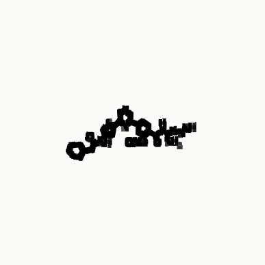 COc1cc(-c2cncc(-c3cc(NC(=O)CC4CCCCC4)cs3)n2)ccc1C(=O)N/C(N)=N/N=N